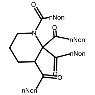 CCCCCCCCCC(=O)C1CCCN(C(=O)CCCCCCCCC)C1(C(=O)CCCCCCCCC)C(=O)CCCCCCCCC